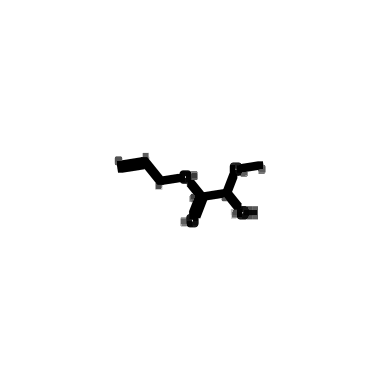 C=CCOC(=O)C(O)OC